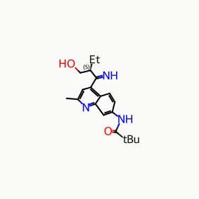 CC[C@H](CO)C(=N)c1cc(C)nc2cc(NC(=O)C(C)(C)C)ccc12